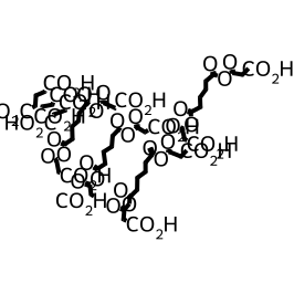 O=C(O)CC(=O)OC(=O)CCCCC(=O)OC(=O)CC(=O)O.O=C(O)CC(=O)OC(=O)CCCCC(=O)OC(=O)CC(=O)O.O=C(O)CC(=O)OC(=O)CCCCC(=O)OC(=O)CC(=O)O.O=C(O)CC(=O)OC(=O)CCCCC(=O)OC(=O)CC(=O)O.O=C(O)CCC(=O)O.O=C(O)CCC(=O)O.O=C(O)CCCC(=O)O